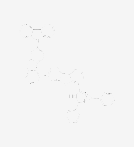 c1ccc(C2NC(c3cccc4c3sc3cc(-c5cccc6oc7cc(-n8c9ccccc9c9ccccc98)ccc7c56)ccc34)=[N+]3C(c4ccccc4)N23)cc1